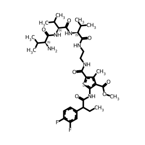 CCC(C(=O)Nc1sc(C(=O)NCCNC(=O)[C@@H](NC(=O)[C@@H](NC(=O)[C@@H](N)C(C)C)C(C)C)C(C)C)c(C)c1C(=O)OC)c1ccc(F)c(F)c1